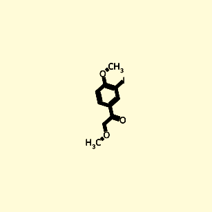 COCC(=O)c1ccc(OC)c(I)c1